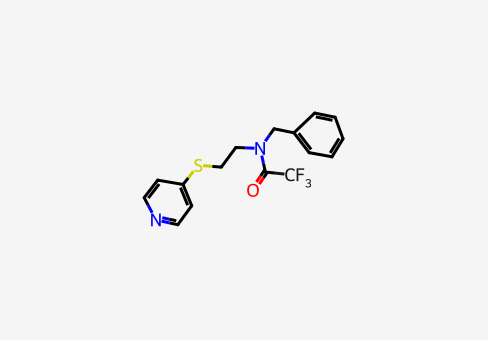 O=C(N(CCSc1ccncc1)Cc1ccccc1)C(F)(F)F